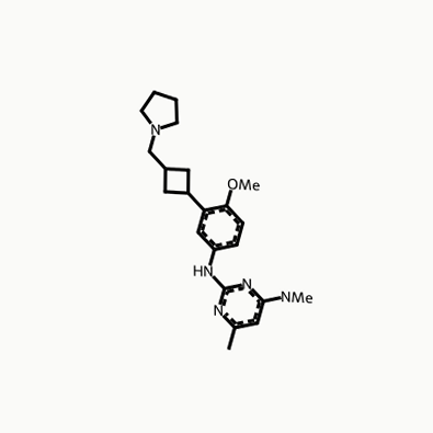 CNc1cc(C)nc(Nc2ccc(OC)c(C3CC(CN4CCCC4)C3)c2)n1